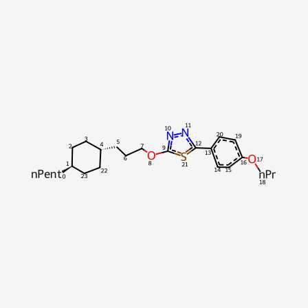 CCCCC[C@H]1CC[C@H](CCCOc2nnc(-c3ccc(OCCC)cc3)s2)CC1